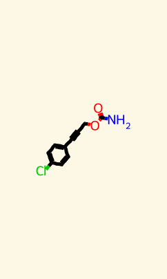 NC(=O)OCC#Cc1ccc(Cl)cc1